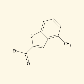 CCC(=O)c1cc2c(C)cccc2s1